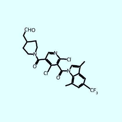 Cc1cn(C(=O)c2c(Cl)ncc(C(=O)N3CCC(CC=O)CC3)c2Cl)c2c(C)cc(C(F)(F)F)cc12